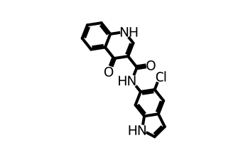 O=C(Nc1cc2[nH]ccc2cc1Cl)c1c[nH]c2ccccc2c1=O